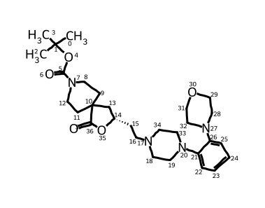 CC(C)(C)OC(=O)N1CCC2(CC1)C[C@H](CCN1CCN(c3ccccc3N3CCOCC3)CC1)OC2=O